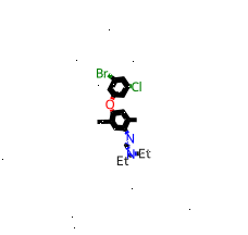 CCN(C=Nc1cc(C)c(Oc2cc(Cl)cc(Br)c2)cc1C)CC